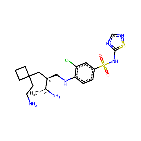 C[C@@H](N)[C@H](CNc1ccc(S(=O)(=O)Nc2ncns2)cc1Cl)CC1(CCN)CCC1